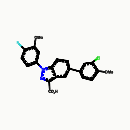 COc1cc(-n2nc(C(=O)O)c3cc(-c4ccc(OC)c(Cl)c4)ccc32)ccc1F